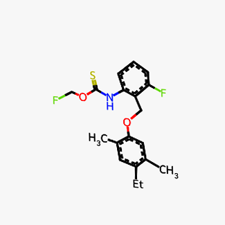 CCc1cc(C)c(OCc2c(F)cccc2NC(=S)OCF)cc1C